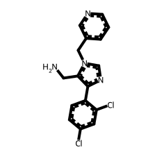 NCc1c(-c2ccc(Cl)cc2Cl)ncn1Cc1cccnc1